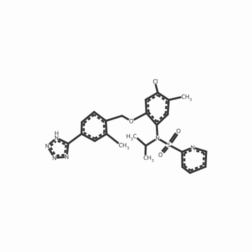 Cc1cc(N(C(C)C)S(=O)(=O)c2ccccn2)c(OCc2ccc(-c3nnn[nH]3)cc2C)cc1Cl